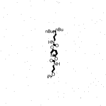 CCCCN(CCCC)CCCNC(=O)Oc1ccc(OC(=O)NCCCOC(C)C)nc1